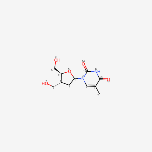 Cc1cn([C@H]2C[C@H](CO)[C@@H](CO)O2)c(=O)[nH]c1=O